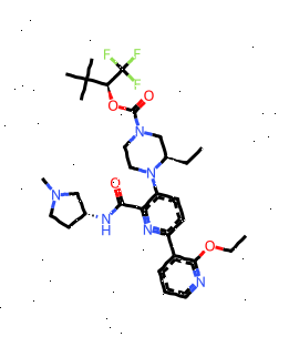 CCOc1ncccc1-c1ccc(N2CCN(C(=O)O[C@@H](C(C)(C)C)C(F)(F)F)C[C@H]2CC)c(C(=O)N[C@@H]2CCN(C)C2)n1